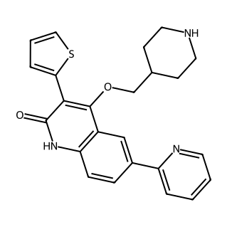 O=c1[nH]c2ccc(-c3ccccn3)cc2c(OCC2CCNCC2)c1-c1cccs1